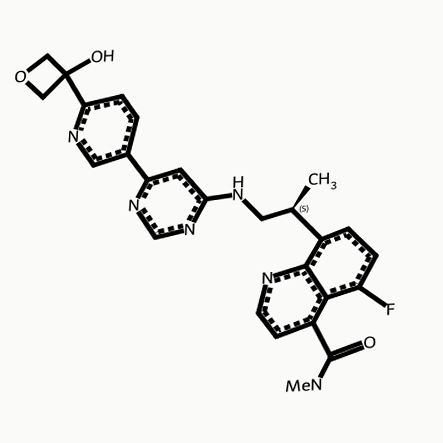 CNC(=O)c1ccnc2c([C@H](C)CNc3cc(-c4ccc(C5(O)COC5)nc4)ncn3)ccc(F)c12